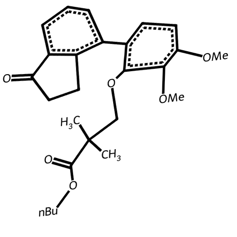 CCCCOC(=O)C(C)(C)COc1c(-c2cccc3c2CCC3=O)ccc(OC)c1OC